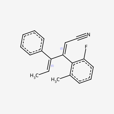 C/C=C(/C(=C/C#N)c1c(C)cccc1F)c1ccccc1